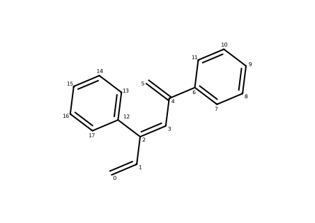 C=CC(=CC(=C)c1ccccc1)c1ccccc1